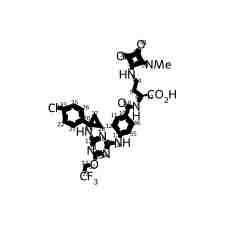 CNc1c(NCC[C@H](NC(=O)c2ccc(Nc3nc(NC4(c5ccc(Cl)cc5)CC4)nc(OCC(F)(F)F)n3)cc2)C(=O)O)c(=O)c1=O